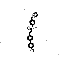 O=C(/C=C/c1ccc(-c2ccc(Cl)cc2)cc1)Nc1ccc(CN2CCCC2)cc1